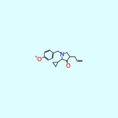 C=CCC1CN(Cc2ccc(OC)cc2)C(C2CC2)C1=O